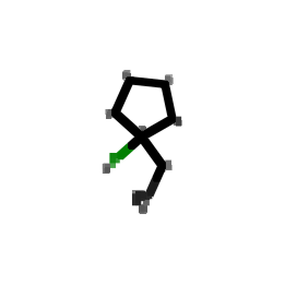 CC(C)[CH]C1(F)CCCC1